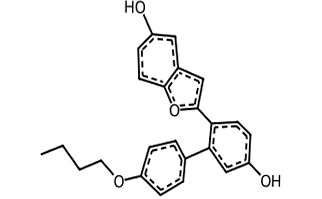 CCCCOc1ccc(-c2cc(O)ccc2-c2cc3cc(O)ccc3o2)cc1